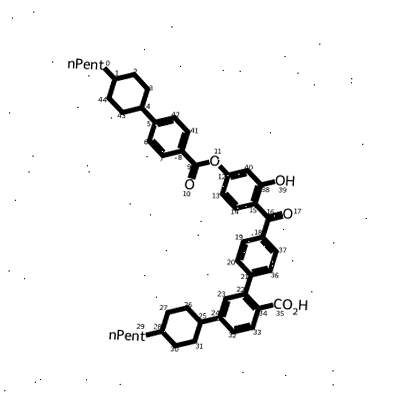 CCCCCC1CCC(c2ccc(C(=O)Oc3ccc(C(=O)c4ccc(-c5cc(C6CCC(CCCCC)CC6)ccc5C(=O)O)cc4)c(O)c3)cc2)CC1